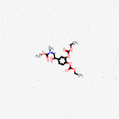 CCOC(=O)Oc1ccc(C(O)CN(C)C(=O)OC)cc1OC(=O)OCC